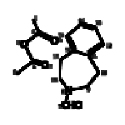 CC(=O)OC(C)=O.O=CN1CCc2ccccc2CC1